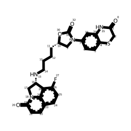 O=C1CSc2ccc(N3C[C@H](CCCCN[C@H]4Cn5c(=O)ccc6ccc(F)c4c65)OC3=O)cc2N1